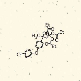 CCC(=O)OC(CC(C)(O)c1ccc(Oc2ccc(Cl)cc2)cc1)(OC(=O)CC)OC(=O)CC